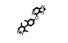 Cc1cc(Oc2nccc3ncsc23)ccc1-c1c(C)cnnc1C